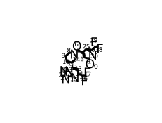 COc1cc(C(=O)N2CCC[C@H](c3cc(C(F)F)nc4ncnn34)C2)cc(C(F)F)n1